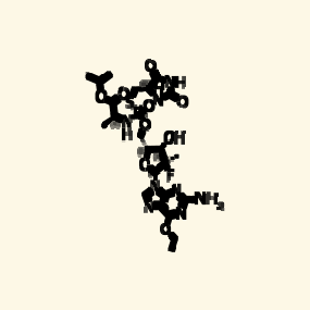 CCOc1nc(N)nc2c1ncn2[C@@H]1O[C@H](CO[P@](=O)(N[C@@H](C)C(=O)OC(C)C)SC[C@@H]2NC(=O)NC2=O)[C@@H](O)[C@@]1(C)F